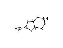 CN1CC2CCNCC2C1